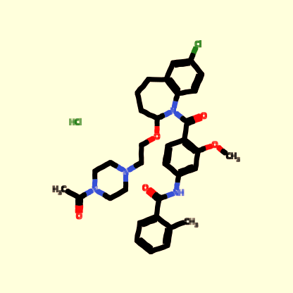 COc1cc(NC(=O)c2ccccc2C)ccc1C(=O)N1c2ccc(Cl)cc2CCCC1OCCN1CCN(C(C)=O)CC1.Cl